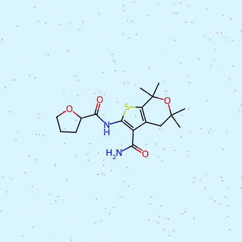 CC1(C)Cc2c(sc(NC(=O)C3CCCO3)c2C(N)=O)C(C)(C)O1